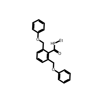 CCPC(=O)c1c(COc2ccccc2)cccc1COc1ccccc1